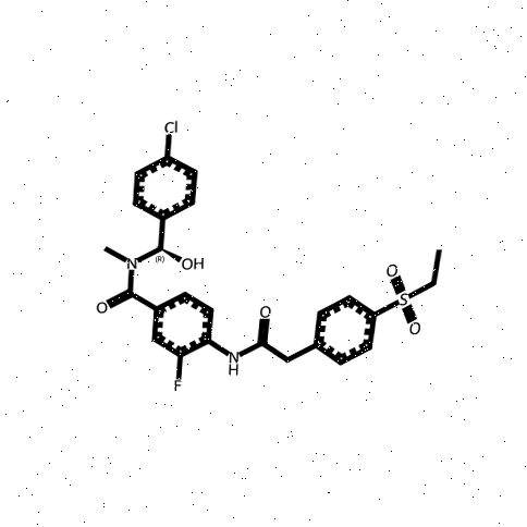 CCS(=O)(=O)c1ccc(CC(=O)Nc2ccc(C(=O)N(C)[C@H](O)c3ccc(Cl)cc3)cc2F)cc1